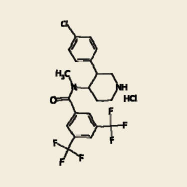 CN(C(=O)c1cc(C(F)(F)F)cc(C(F)(F)F)c1)C1CCNCC1c1ccc(Cl)cc1.Cl